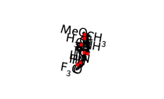 COc1cc(C)c(/N=C(/N/N=C/c2ccc(C(=N)/N=C\Nc3ccc(OC(F)(F)F)cc3)cc2)SCC(=O)N2CCNCC2)c(C)c1